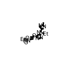 CCn1c(-c2cnc(C)nc2)nc2c(OC3CC(NS(=O)(=O)CC)C3)ncnc21